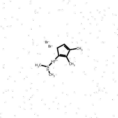 CC1=CC[C]([Hf+2][SiH](C)C)=C1C.[Br-].[Br-]